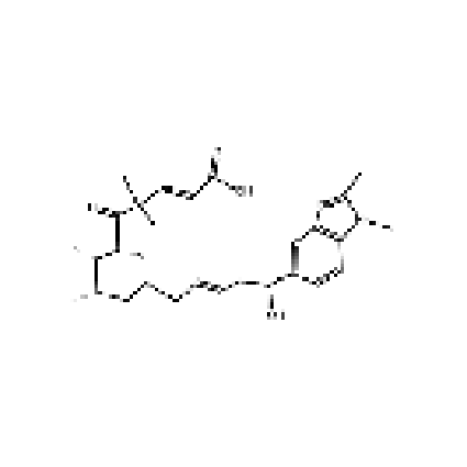 Cc1nc2cc([C@@H](O)C/C=C/CCC[C@H](C)[C@H](C)[C@@H](C)C(=O)C(C)(C)/C=C/C(=O)O)ccc2n1C